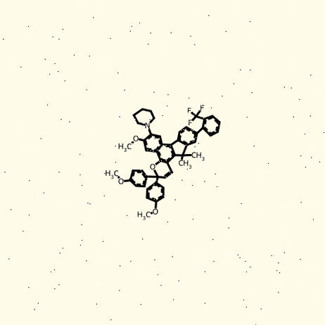 COc1ccc(C2(c3ccc(OC)cc3)C=Cc3c4c(c5cc(N6CCCCC6)c(OC)cc5c3O2)-c2ccc(-c3ccccc3C(F)(F)F)cc2C4(C)C)cc1